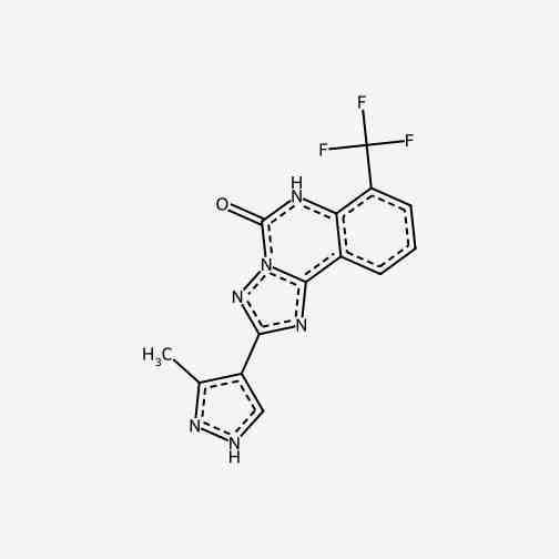 Cc1n[nH]cc1-c1nc2c3cccc(C(F)(F)F)c3[nH]c(=O)n2n1